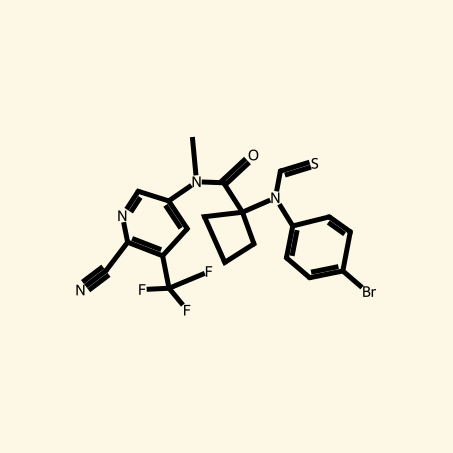 CN(C(=O)C1(N(C=S)c2ccc(Br)cc2)CCC1)c1cnc(C#N)c(C(F)(F)F)c1